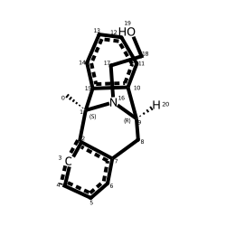 C[C@]12c3ccccc3C[C@H](c3ccccc31)N2CCO